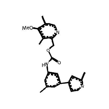 COc1c(C)cnc(COC(=O)Nc2cc(C)cc(-c3ccnc(C)c3)c2)c1C